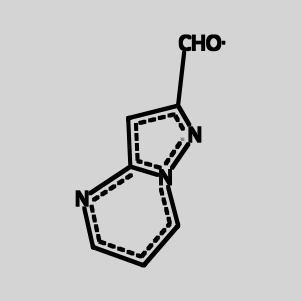 O=[C]c1cc2ncccn2n1